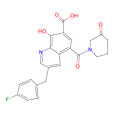 O=C1CCCN(C(=O)c2cc(C(=O)O)c(O)c3ncc(Cc4ccc(F)cc4)cc23)C1